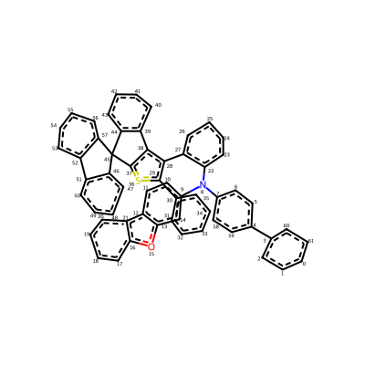 c1ccc(-c2ccc(N(c3ccc4c(c3)oc3ccccc34)c3ccccc3-c3c(-c4ccccc4)sc4c3-c3ccccc3C43c4ccccc4-c4ccccc43)cc2)cc1